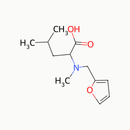 CC(C)CC(C(=O)O)N(C)Cc1ccco1